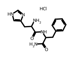 Cl.NC(=O)C(Cc1ccccc1)NC(=O)C(N)Cc1c[nH]cn1